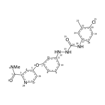 CNC(=O)c1cc(Oc2cccc(NNC(=O)Nc3ccc(Cl)c(C)c3)c2)ccn1